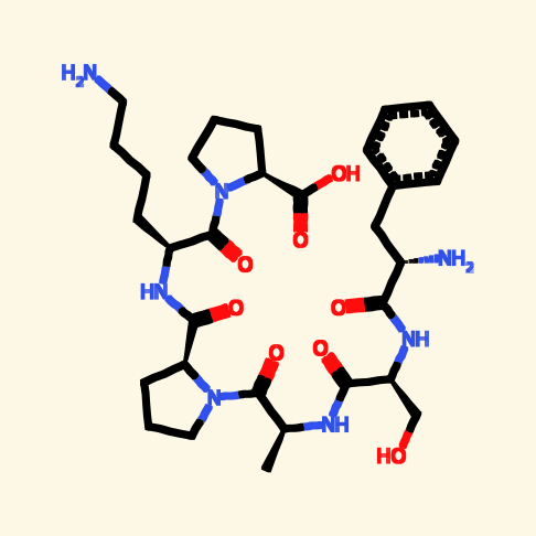 C[C@H](NC(=O)[C@H](CO)NC(=O)[C@@H](N)Cc1ccccc1)C(=O)N1CCC[C@H]1C(=O)N[C@@H](CCCCN)C(=O)N1CCC[C@H]1C(=O)O